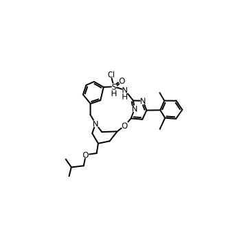 Cc1cccc(C)c1-c1cc2nc(n1)N[SH](=O)(Cl)c1cccc(c1)CN1CC(COCC(C)C)CC(C1)O2